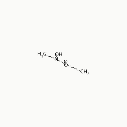 CCCCCCCCCCCOC(=O)CCCCCN(CCO)CCCCCCCC